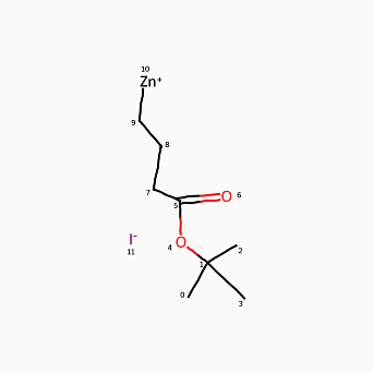 CC(C)(C)OC(=O)CC[CH2][Zn+].[I-]